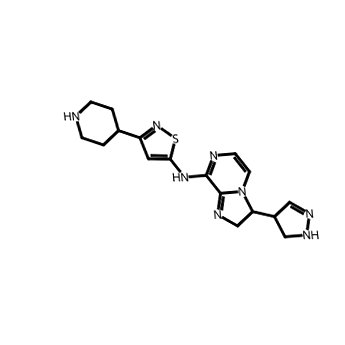 C1=CN2C(=NCC2C2C=NNC2)C(Nc2cc(C3CCNCC3)ns2)=N1